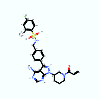 C=CC(=O)N1CCCC(n2nc(-c3ccc(CNS(=O)(=O)c4ccc(F)cc4C(F)(F)F)cc3)c3c(N)ncnc32)C1